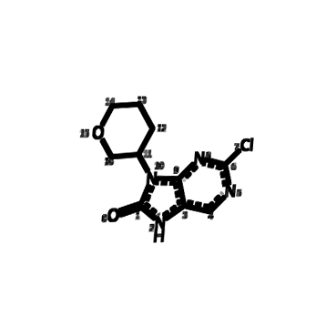 O=c1[nH]c2cnc(Cl)nc2n1C1CCCOC1